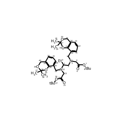 CCC(CN(CC(=O)OC(C)(C)C)Cc1cccc2c1OC(C)(C)OC2)N(CC(=O)OC(C)(C)C)Cc1cccc2c1OC(C)(C)OC2